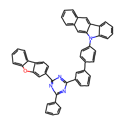 c1ccc(-c2nc(-c3cccc(-c4ccc(-n5c6ccccc6c6cc7ccccc7cc65)cc4)c3)nc(-c3ccc4c(c3)oc3ccccc34)n2)cc1